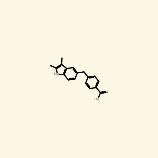 Cc1[nH]c2ccc(Cc3ccc(C(=O)O)cc3)cc2c1C